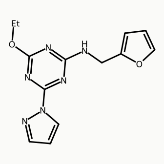 CCOc1nc(NCc2ccco2)nc(-n2cccn2)n1